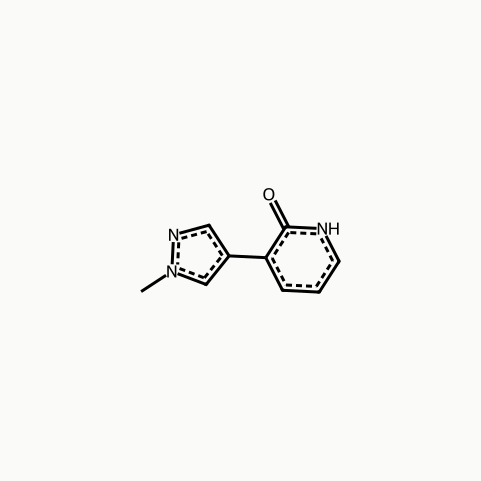 Cn1cc(-c2ccc[nH]c2=O)cn1